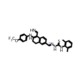 Cc1cccc(C)c1NC(=S)N/N=C/c1ccc2c(c1)CCC(Nc1ccc(OC(F)(F)F)cc1)=C2C=N